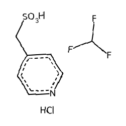 Cl.FC(F)F.O=S(=O)(O)Cc1ccncc1